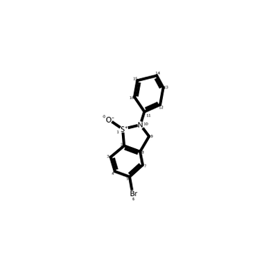 [O-][S+]1c2ccc(Br)cc2CN1c1ccccc1